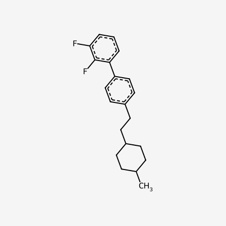 CC1CCC(CCc2ccc(-c3cccc(F)c3F)cc2)CC1